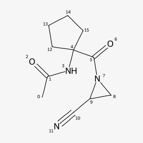 CC(=O)NC1(C(=O)N2CC2C#N)CCCC1